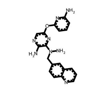 Nc1cccc(Oc2cnc(N)c(N(N)Cc3ccc4ncccc4c3)n2)n1